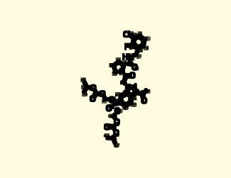 CC(=O)c1cn(CC(=O)N2CCC[C@H]2C(=O)NCc2cccc(Cl)c2F)c2cc(P(=O)(OCOC(=O)OC(C)C)OCOC(=O)OC(C)C)ccc12